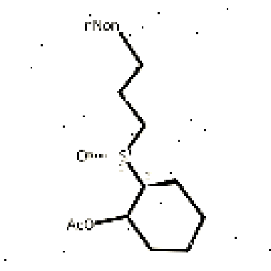 CCCCCCCCCCCC[S@@+]([O-])[C@H]1CCCCC1OC(C)=O